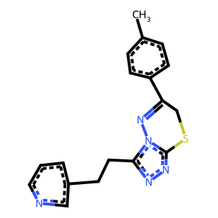 Cc1ccc(C2=Nn3c(CCc4cccnc4)nnc3SC2)cc1